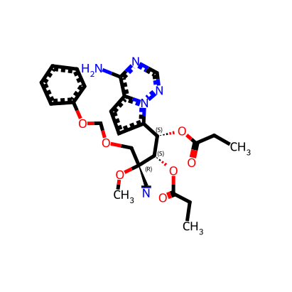 CCC(=O)O[C@@H](c1ccc2c(N)ncnn12)[C@H](OC(=O)CC)[C@@](C#N)(COCOc1ccccc1)OC